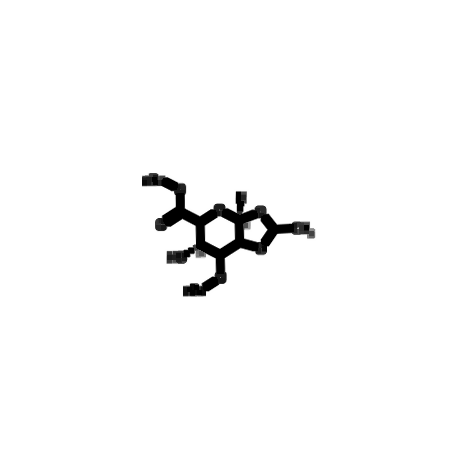 CCCCOC(=O)C1O[C@H]2OC(C)OC2C(OCCCC)[C@@H]1O